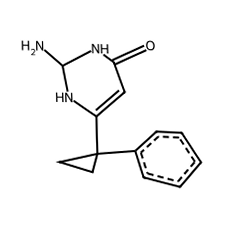 NC1NC(=O)C=C(C2(c3ccccc3)CC2)N1